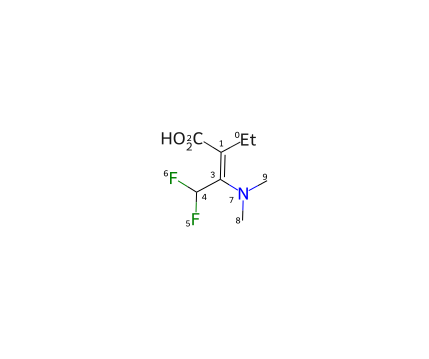 CCC(C(=O)O)=C(C(F)F)N(C)C